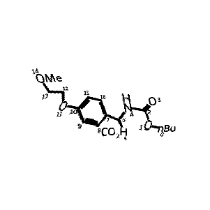 CCCCOC(=O)NC(C(=O)O)c1ccc(OCCOC)cc1